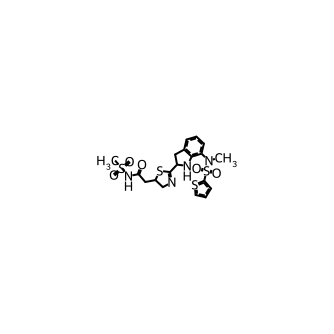 CN(c1cccc2c1NC(C1=NCC(CC(=O)NS(C)(=O)=O)S1)C2)S(=O)(=O)c1cccs1